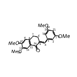 COc1cc(/C=C2\CCc3cc(OC)c(OC)cc3C2=O)cc(OC)c1